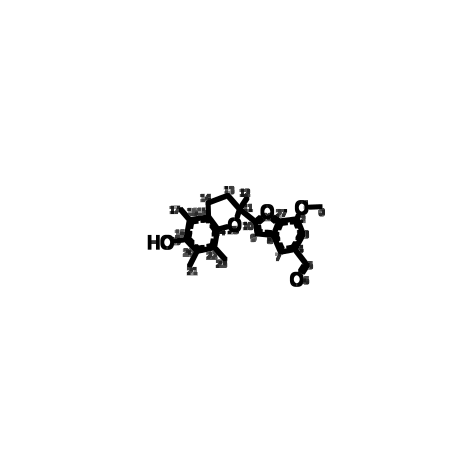 COc1cc(C=O)cc2cc(C3(C)CCc4c(C)c(O)c(C)c(C)c4O3)oc12